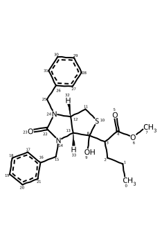 CCCC(C(=O)OC)C1(O)SC[C@@H]2[C@H]1N(Cc1ccccc1)C(=O)N2Cc1ccccc1